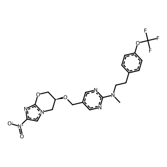 CN(CCc1ccc(OC(F)(F)F)cc1)c1ncc(CO[C@@H]2COc3nc([N+](=O)[O-])cn3C2)cn1